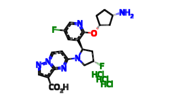 Cl.Cl.Cl.N[C@H]1CC[C@@H](Oc2ncc(F)cc2[C@H]2C[C@H](F)CN2c2ccn3ncc(C(=O)O)c3n2)C1